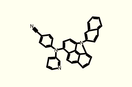 N#Cc1ccc(N(c2cccnc2)c2ccc3c4c2ccc2cccc(c24)n3-c2ccc3ccccc3c2)cc1